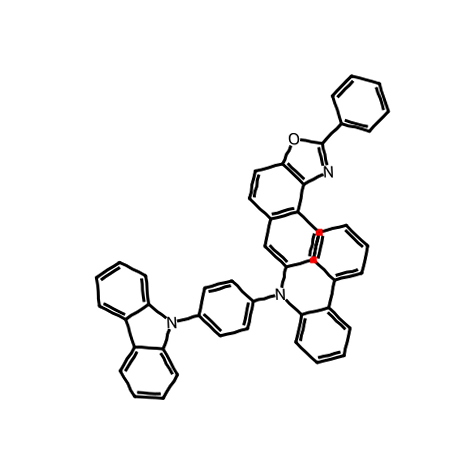 c1ccc(-c2nc3c(ccc4cc(N(c5ccc(-n6c7ccccc7c7ccccc76)cc5)c5ccccc5-c5ccccc5)ccc43)o2)cc1